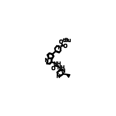 CC(C)(C)OC(=O)N1CC=C(c2ccc3nccc(NC(=O)Nc4cncc(C5CC5)n4)c3c2)CC1